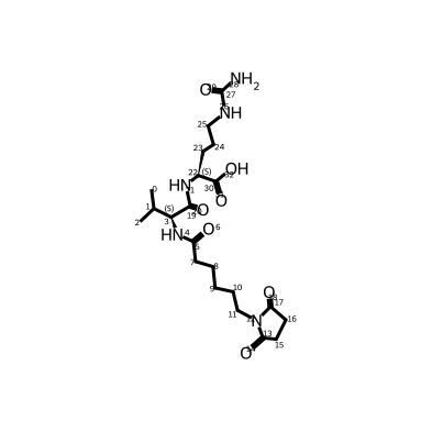 CC(C)[C@H](NC(=O)CCCCCN1C(=O)CCC1=O)C(=O)N[C@@H](CCCNC(N)=O)C(=O)O